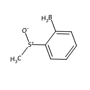 Bc1ccccc1[S+](C)[O-]